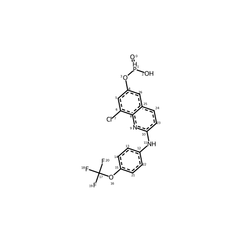 O=[PH](O)Oc1cc(Cl)c2nc(Nc3ccc(OC(F)(F)F)cc3)ccc2c1